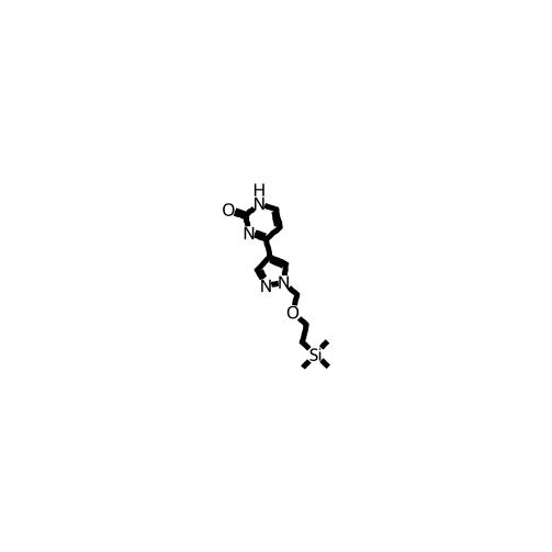 C[Si](C)(C)CCOCn1cc(-c2cc[nH]c(=O)n2)cn1